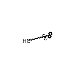 O=C(Cc1cccc2ccccc12)OCCCCCCCCCCO